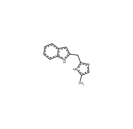 Cc1cnc(Cc2cc3ccccc3[nH]2)[nH]1